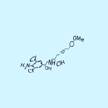 COc1ccc(CCOCCCCCNCC(O)c2cc(Cl)c(N)c(Cl)c2)cc1.Cl